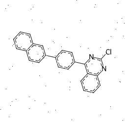 Clc1nc(-c2ccc(-c3ccc4ccccc4c3)cc2)c2ccccc2n1